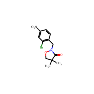 CC1(C)CON(Cc2ccc([N+](=O)[O-])cc2Br)C1=O